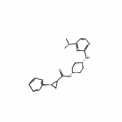 CN(C)c1ccnc(N[C@H]2CC[C@@H](NC(=O)C3C[C@H]3c3ccccc3)CC2)n1